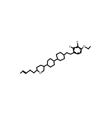 C/C=C/CCC1CCC(C2CCC(C3CCC(CCc4ccc(OCC)c(F)c4F)CC3)CC2)CO1